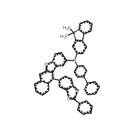 CC1(C)c2ccccc2-c2ccc(N(c3ccc(-c4ccccc4)cc3)c3ccc4oc5cc6ccccc6c(-c6ccc7nc(-c8ccccc8)oc7c6)c5c4c3)cc21